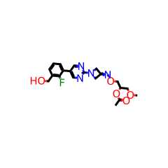 COCC(CON=C1CN(c2ncc(-c3cccc(CO)c3F)cn2)C1)OC(C)=O